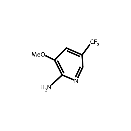 COc1cc(C(F)(F)F)cnc1N